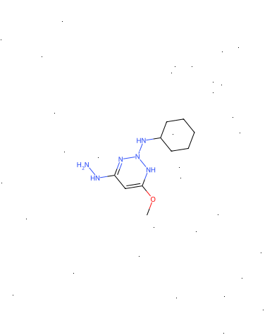 COC1=CC(NN)=NN(NC2CCCCC2)N1